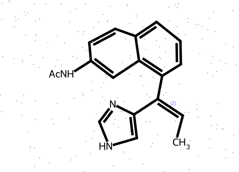 C/C=C(\c1c[nH]cn1)c1cccc2ccc(NC(C)=O)cc12